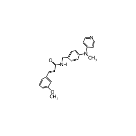 COc1cccc(C=CC(=O)NCc2ccc(N(C)c3ccncc3)cc2)c1